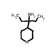 CCC(N)(CC)C1CC[N]CC1